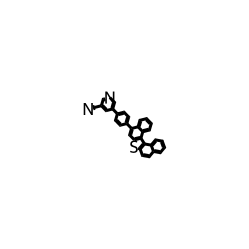 N#Cc1cncc(-c2ccc(-c3cc4sc5ccc6ccccc6c5c4c4ccccc34)cc2)c1